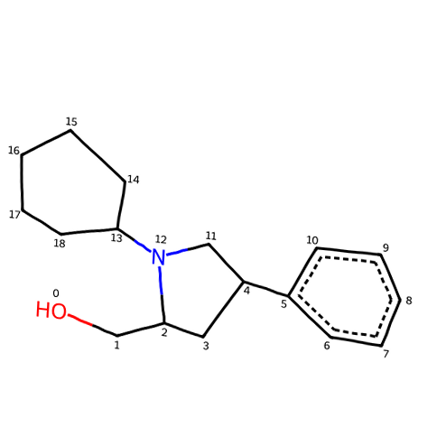 OCC1CC(c2ccccc2)CN1C1CCCCC1